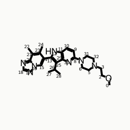 COCCN1CCN(c2ccc3[nH]c(-c4cn5ncnc5c(C)c4C)c(C(C)C)c3n2)CC1